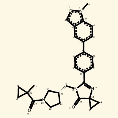 Cn1ncc2cc(-c3ccc(C4=NC5(CC5)C(=O)N4C[C@@H]4CCN(C(=O)C5(C)CC5)C4)cc3)ccc21